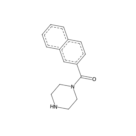 O=C(c1ccc2ccccc2c1)N1CCNCC1